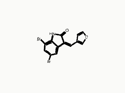 O=C1Nc2c(Br)cc(Br)cc2C1=Cc1ccoc1